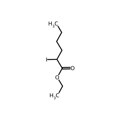 CCCCC(I)C(=O)OCC